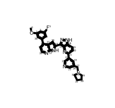 COc1cc(F)cc(-c2ccnc3[nH]c(-c4n[nH]c5ccc(-c6cncc(CN7CCCC7)c6)nc45)cc23)c1